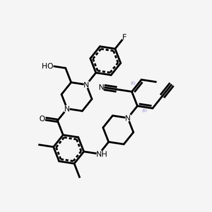 C#C/C=C(\C(C#N)=C/C)N1CCC(Nc2cc(C(=O)N3CCN(c4ccc(F)cc4)C(CO)C3)c(C)cc2C)CC1